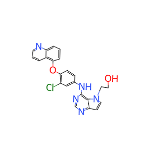 OCCn1ccc2ncnc(Nc3ccc(Oc4cccc5ncccc45)c(Cl)c3)c21